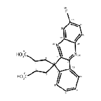 O=C(O)CCC1(CCC(=O)O)c2ccccc2-c2nc3ccc(F)cc3nc21